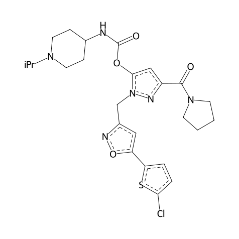 CC(C)N1CCC(NC(=O)Oc2cc(C(=O)N3CCCC3)nn2Cc2cc(-c3ccc(Cl)s3)on2)CC1